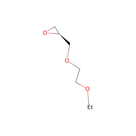 CCOCCOC[C@@H]1CO1